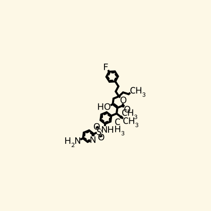 CCCC1(CCc2ccc(F)cc2)CC(O)=C(C(c2cccc(NS(=O)(=O)c3ccc(N)cn3)c2)C(C)(C)C)C(=O)O1